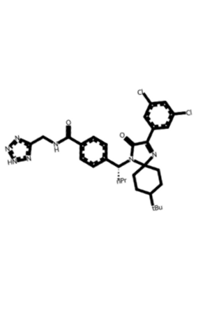 CCC[C@H](c1ccc(C(=O)NCc2nn[nH]n2)cc1)N1C(=O)C(c2cc(Cl)cc(Cl)c2)=NC12CCC(C(C)(C)C)CC2